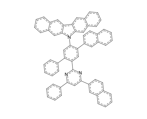 c1ccc(-c2cc(-c3ccc4ccccc4c3)nc(-c3cc(-c4ccc5ccccc5c4)c(-n4c5cc6ccccc6cc5c5cc6ccccc6cc54)cc3-c3ccccc3)n2)cc1